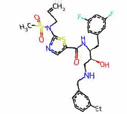 C=CCN(c1ncc(C(=O)N[C@@H](Cc2cc(F)cc(F)c2)[C@@H](O)CNCc2cccc(CC)c2)s1)S(C)(=O)=O